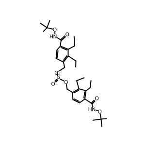 CCc1c(CO[PH](=O)OCc2ccc(C(=O)NOC(C)(C)C)c(CC)c2CC)ccc(C(=O)NOC(C)(C)C)c1CC